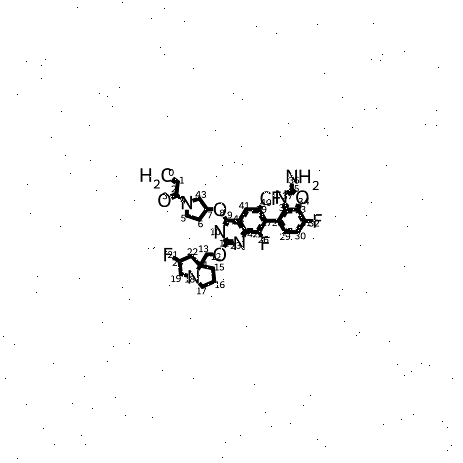 C=CC(=O)N1CCC(Oc2nc(OCC34CCCN3CC(F)C4)nc3c(F)c(-c4ccc(F)c5oc(N)nc45)c(C(F)(F)F)cc23)C1